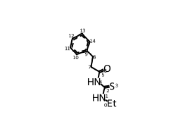 CCNC(=S)NC(=O)CCc1ccccc1